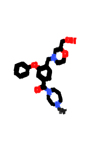 CC(C)N1CCCN(C(=O)c2ccc(CN3CCOC(CO)C3)c(Oc3ccccc3)c2)CC1